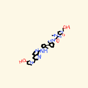 Cc1c(NC(=O)c2nc3c(=O)n(CCO)ccc3n2C)cccc1-c1cccc(Nc2nccc3cc(CN4CC[C@@H](O)C4)cnc23)c1C